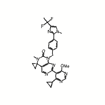 COc1ncnc(C2CC2)c1-c1ncc2c(n1)N(Cc1ccc(-c3nc(C(C)(F)F)cn3C)cc1)C(=O)N(C)C21CC1